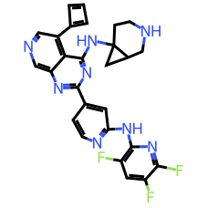 Fc1cc(F)c(Nc2cc(-c3nc(NC45CCNCC4C5)c4c(C5=CC=C5)cncc4n3)ccn2)nc1F